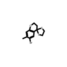 Cc1cc2c(cc1Br)C1(CCO2)SCCS1